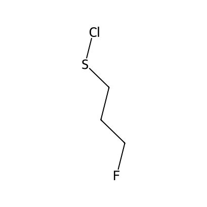 FCCCSCl